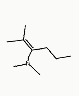 CCCC(=C(C)C)N(C)C